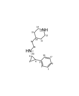 c1ccc(C2C[C@@H]2NCCC2CCNCC2)cc1